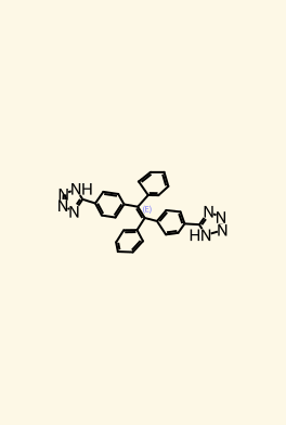 c1ccc(/C(=C(/c2ccccc2)c2ccc(-c3nnn[nH]3)cc2)c2ccc(-c3nnn[nH]3)cc2)cc1